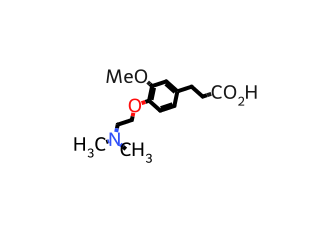 COc1cc(CCC(=O)O)ccc1OCCN(C)C